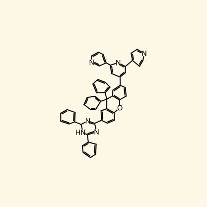 c1ccc(C2=NC(c3ccc4c(c3)C(c3ccccc3)(c3ccccc3)c3cc(-c5cc(-c6ccncc6)nc(-c6cccnc6)c5)ccc3O4)=NC(c3ccccc3)N2)cc1